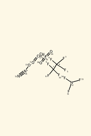 C.C=O.FC(F)(F)C(F)(F)F.FN(F)F.N#[N+][O-].O=C=O